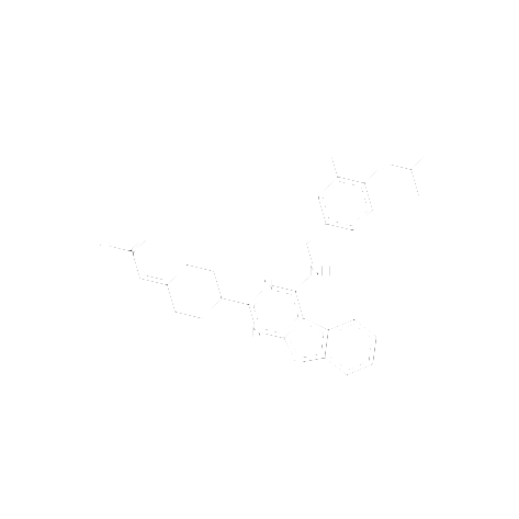 CC(C)Oc1ccc(CNc2nc(C3CCC(=CC(=O)O)CC3)nc3sc4ccccc4c23)cc1Cl